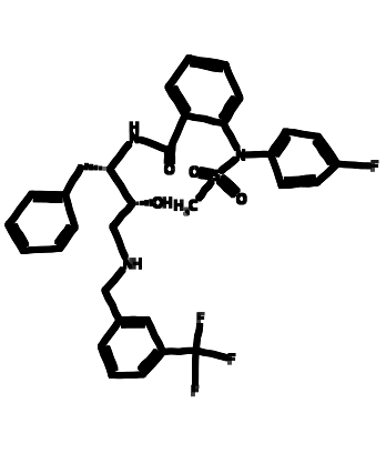 CS(=O)(=O)N(c1ccc(F)cc1)c1ccccc1C(=O)N[C@@H](Cc1ccccc1)[C@H](O)CNCc1cccc(C(F)(F)F)c1